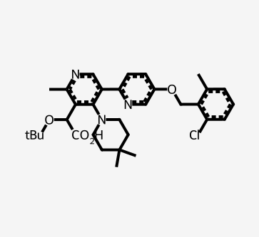 Cc1cccc(Cl)c1COc1ccc(-c2cnc(C)c(C(OC(C)(C)C)C(=O)O)c2N2CCC(C)(C)CC2)nc1